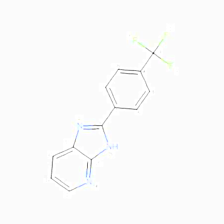 FC(F)(F)c1ccc(-c2nc3cccnc3[nH]2)cc1